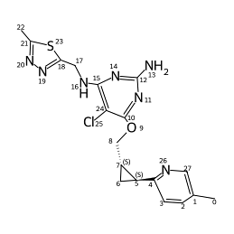 Cc1ccc([C@H]2C[C@@H]2COc2nc(N)nc(NCc3nnc(C)s3)c2Cl)nc1